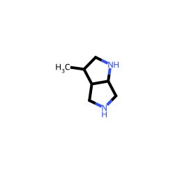 CC1CNC2CNCC12